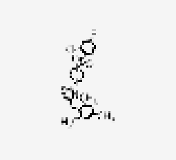 Cc1cc(C)c(Cc2csc(N3CCN(S(=O)(=O)c4ccc(F)cc4Cl)CC3)n2)c(C)c1